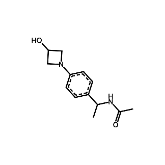 CC(=O)NC(C)c1ccc(N2CC(O)C2)cc1